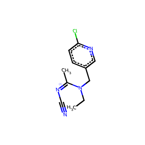 CCN(Cc1ccc(Cl)nc1)/C(C)=N\C#N